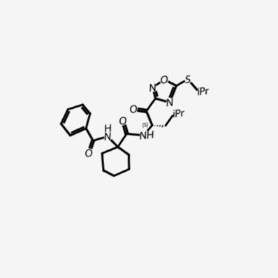 CC(C)C[C@H](NC(=O)C1(NC(=O)c2ccccc2)CCCCC1)C(=O)c1noc(SC(C)C)n1